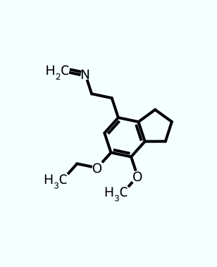 C=NCCc1cc(OCC)c(OC)c2c1CCC2